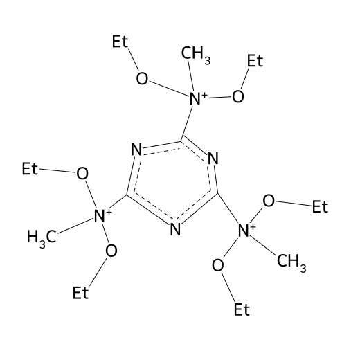 CCO[N+](C)(OCC)c1nc([N+](C)(OCC)OCC)nc([N+](C)(OCC)OCC)n1